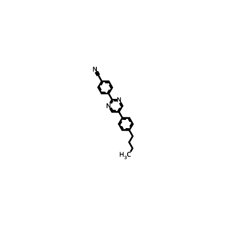 CCCCc1ccc(-c2cnc(-c3ccc(C#N)cc3)nc2)cc1